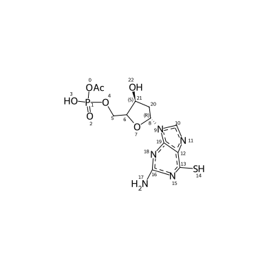 CC(=O)OP(=O)(O)OCC1O[C@@H](n2cnc3c(S)nc(N)nc32)C[C@@H]1O